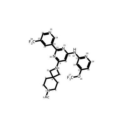 CC(=O)N1CCC2(CC1)CN(c1cc(Nc3cc(OC(F)(F)F)ccn3)nc(-c3cncc(C(F)(F)F)c3)n1)C2